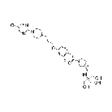 O=C(Cc1ccc(OCCCC2CCN(c3ncc(Cl)cn3)CC2)cc1F)N1CC[C@@H](CNC(CO)(CO)CO)C1